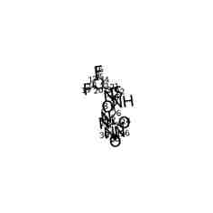 Cn1nc2c(c1CC(=O)Nc1nc(-c3cc(F)cc(F)c3)cs1)c(=O)n(C)c(=O)n2C